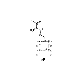 C=C(C)C(=O)SCCC(F)(F)C(F)(F)C(F)(F)C(F)(F)F